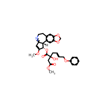 COC(=O)CC(O)(C/C=C/COc1ccccc1)C(=O)O[C@@H]1C(OC)=CC23CCCN2CCc2cc4c(cc2[C@H]13)OCO4